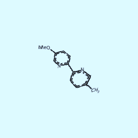 COc1ccc(-c2ccc(C)cn2)nc1